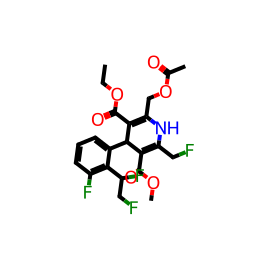 CCOC(=O)C1=C(COC(C)=O)NC(CF)=C(C(=O)OC)C1c1cccc(F)c1C(F)CF